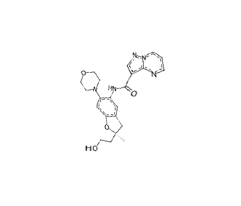 C[C@@]1(CCO)Cc2cc(NC(=O)c3cnn4cccnc34)c(N3CCOCC3)cc2O1